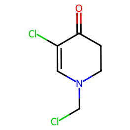 O=C1CCN(CCl)C=C1Cl